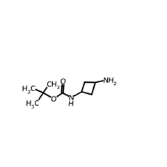 CC(C)(C)OC(=O)NC1CC(N)C1